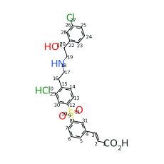 Cl.O=C(O)/C=C/c1cccc(S(=O)(=O)c2ccc(CCNC[C@H](O)c3cccc(Cl)c3)cc2)c1